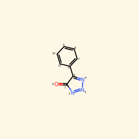 O=C1N=NN=C1c1ccccc1